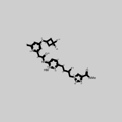 Br.CNC(=O)c1cn(CC(F)CCc2ccc(NC(=O)Cc3cc(OC4CC(F)(F)C4)cc(C)n3)nn2)nn1